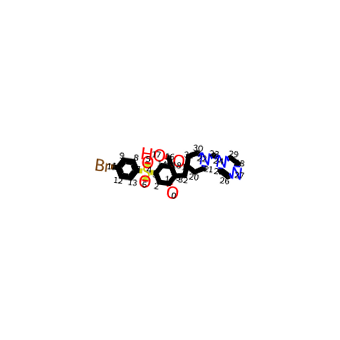 O=C1CC(S(=O)(=O)c2ccc(Br)cc2)CC2(CO)OC3(CCN(CN4C=CN=CC4)CC3)CC12